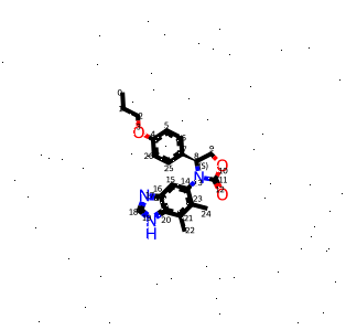 CCCOc1ccc([C@H]2COC(=O)N2c2cc3nc[nH]c3c(C)c2C)cc1